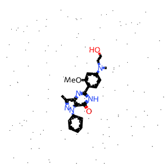 COc1cc(N(C)CCO)ccc1-c1nc2c(C)nn(-c3ccccc3)c2c(=O)[nH]1